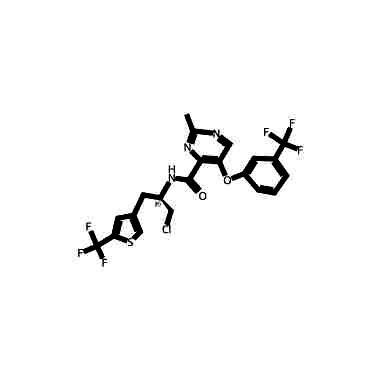 Cc1ncc(Oc2cccc(C(F)(F)F)c2)c(C(=O)N[C@@H](CCl)Cc2csc(C(F)(F)F)c2)n1